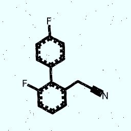 N#CCc1cccc(F)c1-c1ccc(F)cc1